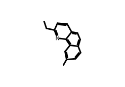 CCc1ccc2ccc3ccc(C)cc3c2n1